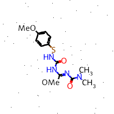 COC(=NC(=O)N(C)C)NC(=O)NSc1ccc(OC)cc1